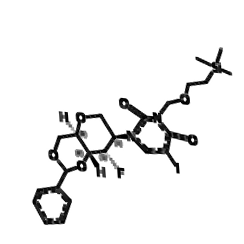 C[Si](C)(C)CCOCn1c(=O)c(I)cn([C@@H]2CO[C@@H]3COC(c4ccccc4)O[C@H]3[C@H]2F)c1=O